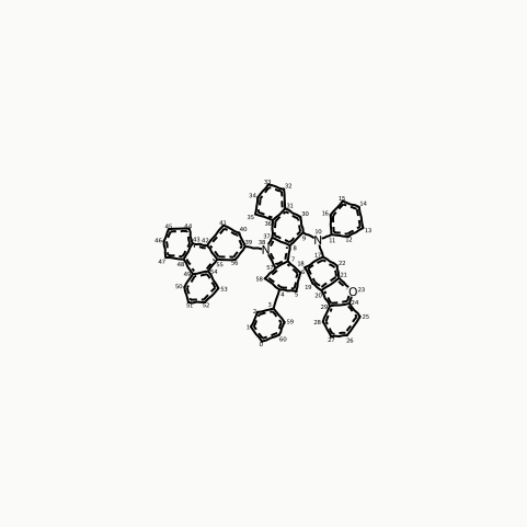 c1ccc(-c2ccc3c4c(N(c5ccccc5)c5ccc6c(c5)oc5ccccc56)cc5ccccc5c4n(-c4ccc5c6ccccc6c6ccccc6c5c4)c3c2)cc1